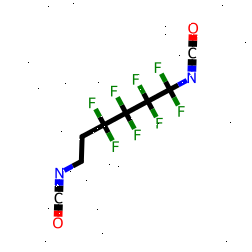 O=C=NCCC(F)(F)C(F)(F)C(F)(F)C(F)(F)N=C=O